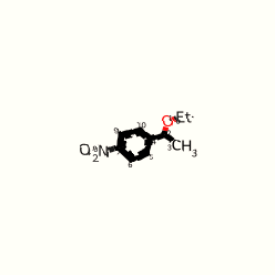 C[CH]OC(C)c1ccc([N+](=O)[O-])cc1